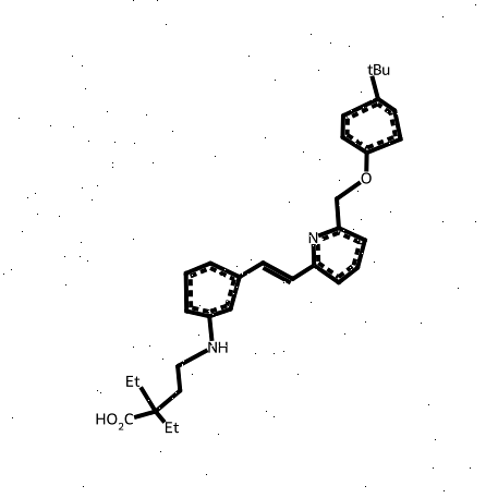 CCC(CC)(CCNc1cccc(C=Cc2cccc(COc3ccc(C(C)(C)C)cc3)n2)c1)C(=O)O